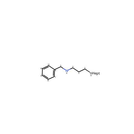 CCCCCCCCCC[N]Cc1ccccc1